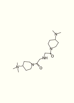 CN(C)C1CCN(C(=O)CNCC(=O)N2CCC([N+](C)(C)C)CC2)CC1